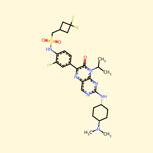 CC(C)n1c(=O)c(-c2ccc(NS(=O)(=O)CC3CC(F)(F)C3)c(F)c2)nc2cnc(N[C@H]3CC[C@H](N(C)C)CC3)nc21